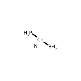 [BH2][Co][PH2].[Ni]